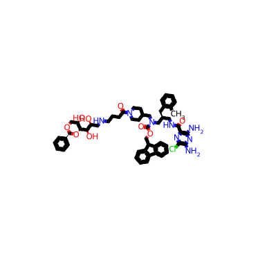 Cc1ccccc1C[C@@H](CNC(=O)c1nc(Cl)c(N)nc1N)CN(CC1CCN(C(=O)CCCNC[C@H](O)[C@@H](O)[C@@H]2O[C@H](c3ccccc3)OC[C@H]2O)CC1)C(=O)OCC1c2ccccc2-c2ccccc21